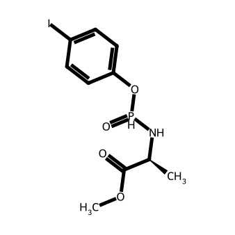 COC(=O)[C@H](C)N[PH](=O)Oc1ccc(I)cc1